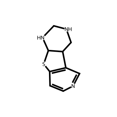 c1cc2c(cn1)C1CNCNC1S2